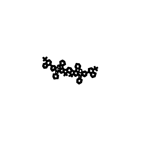 CC(C)(C)c1ccc(-c2ccc(N(c3ccccc3)c3cc4c(c5c3oc3ccccc35)-c3ccc5c(c3C4(C)C)C(C)(C)c3cc(N(c4ccccc4)c4ccc(-c6ccc(C(C)(C)C)c7ccccc67)cc4)c4oc6ccccc6c4c3-5)cc2)c2ccccc12